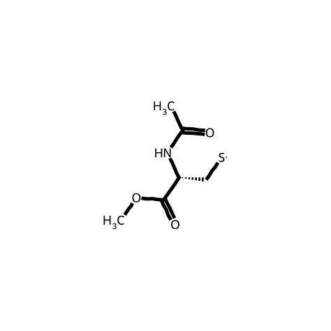 COC(=O)[C@@H](C[S])NC(C)=O